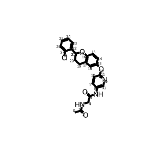 CC(=O)NCC(=O)Nc1ccc(Oc2ccc3c(c2)CCC(c2ccccc2Cl)O3)nc1